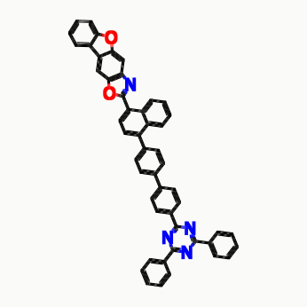 c1ccc(-c2nc(-c3ccccc3)nc(-c3ccc(-c4ccc(-c5ccc(-c6nc7cc8oc9ccccc9c8cc7o6)c6ccccc56)cc4)cc3)n2)cc1